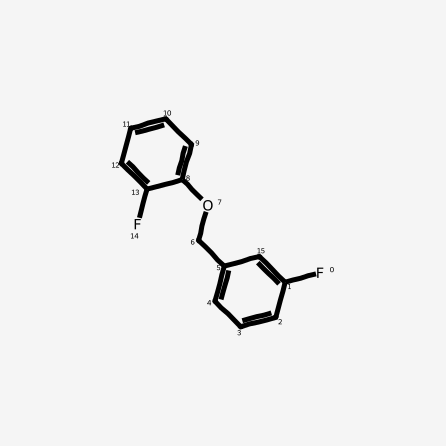 Fc1cccc(COc2ccccc2F)c1